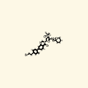 C[C@@](CCn1cnc2cc(-c3ccc(CCBr)cc3F)ccc2c1=O)(C(=O)NOC1CCCCO1)S(C)(=O)=O